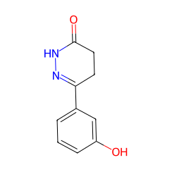 O=C1CCC(c2cccc(O)c2)=NN1